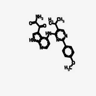 COc1ccc(-c2ncc(C(C)C)c(Nc3ccnc4[nH]cc(C(=O)C(N)=O)c34)n2)cc1